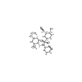 COc1ccc(CN(c2cccnn2)S(=O)(=O)c2ccc(F)c(C#N)c2)c(C)c1